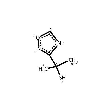 CC(C)(S)c1ncon1